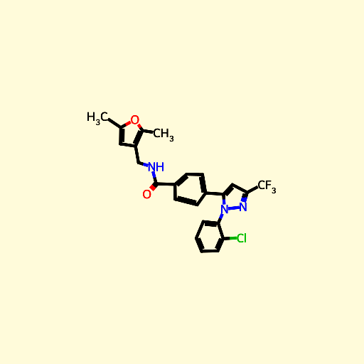 Cc1cc(CNC(=O)c2ccc(-c3cc(C(F)(F)F)nn3-c3ccccc3Cl)cc2)c(C)o1